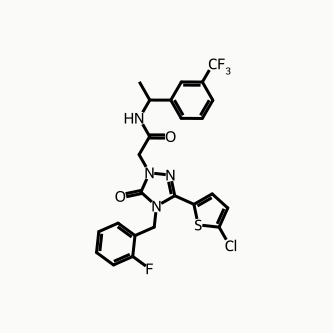 CC(NC(=O)Cn1nc(-c2ccc(Cl)s2)n(Cc2ccccc2F)c1=O)c1cccc(C(F)(F)F)c1